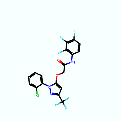 O=C(COc1cc(C(F)(F)F)nn1-c1ccccc1Cl)Nc1ccc(F)c(F)c1F